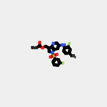 CNC(=O)OCc1cn(S(=O)(=O)c2cccc(F)c2)c2cc(Nc3ccc(C)cc3F)cnc12